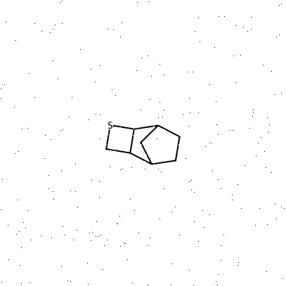 C1CC2CC1C1CSC21